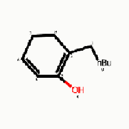 CCCCCC1=C(O)C=CCC1